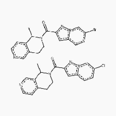 CC1c2ccncc2CCN1C(=O)c1cc2ccc(Br)cn2n1.CC1c2cnccc2CCN1C(=O)c1cc2ccc(Cl)cn2n1